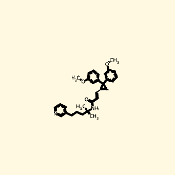 COc1cccc(C2(c3cccc(OC)c3)C[C@H]2/C=C/C(=O)NC(C)(C)CCCc2cccnc2)c1